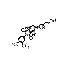 C[C@]12O[C@](C)(C[C@H]1n1cc(CCO)nn1)[C@H]1C(=O)N(c3ccc(C#N)c(C(F)(F)F)c3)C(=O)[C@H]12